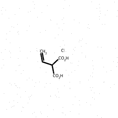 C=CC(C(=O)O)C(=O)O.[C]